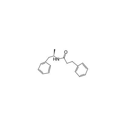 C[C@H](Cc1ccccc1)NC(=O)CCc1ccccc1